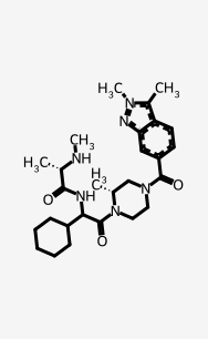 CN[C@@H](C)C(=O)NC(C(=O)N1CCN(C(=O)c2ccc3c(C)n(C)nc3c2)C[C@H]1C)C1CCCCC1